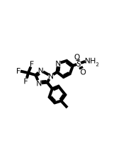 Cc1ccc(-c2nc(C(F)(F)F)nn2-c2ccc(S(N)(=O)=O)cn2)cc1